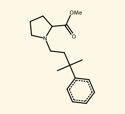 COC(=O)C1CCCN1CCC(C)(C)c1ccccc1